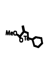 C=C(C[Te]C1CCCCC1)C(=O)OC